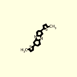 Cc1ccc(-c2ccc3nc4cc(-c5ccc(C)s5)ccc4nc3c2)s1